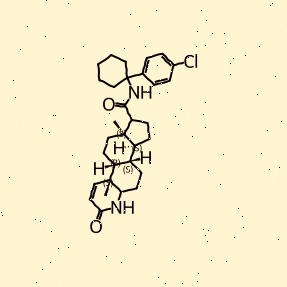 C[C@]12C=CC(=O)NC1CC[C@@H]1[C@H]2CC[C@]2(C)C(C(=O)NC3(c4ccc(Cl)cc4)CCCCC3)CC[C@@H]12